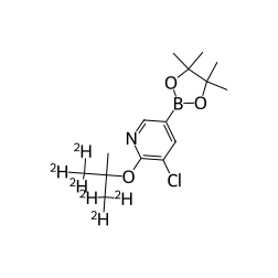 [2H]C([2H])([2H])C(C)(Oc1ncc(B2OC(C)(C)C(C)(C)O2)cc1Cl)C([2H])([2H])[2H]